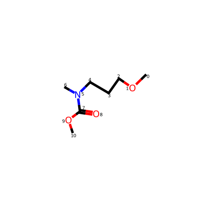 COCCCN(C)C(=O)OC